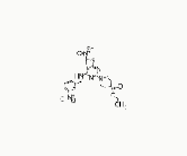 CCOC(=O)C1CCN(c2nc(NCc3cccc([N+](=O)[O-])c3)c3cc([N+](=O)[O-])sc3n2)CC1